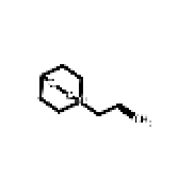 C=CC[N+]12CCC(CC1)CC2